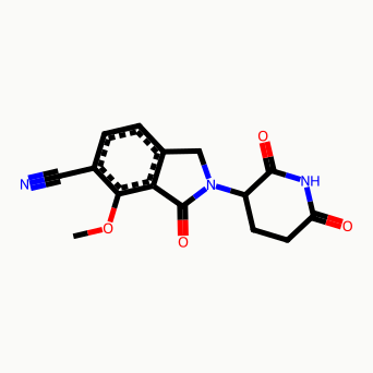 COc1c(C#N)ccc2c1C(=O)N(C1CCC(=O)NC1=O)C2